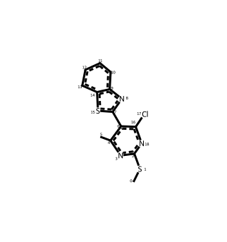 CSc1nc(C)c(-c2nc3ccccc3s2)c(Cl)n1